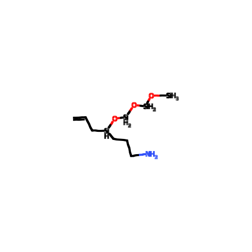 C=CC[SiH](CCCN)O[SiH2]O[SiH2]O[SiH3]